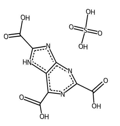 O=C(O)c1nc(C(=O)O)c2[nH]c(C(=O)O)nc2n1.O=S(=O)(O)O